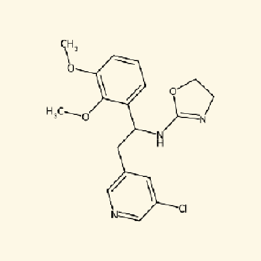 COc1cccc(C(Cc2cncc(Cl)c2)NC2=NCCO2)c1OC